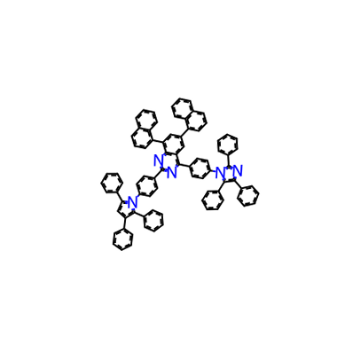 c1ccc(-c2cc(-c3ccccc3)n(-c3ccc(-c4nc(-c5ccc(-n6c(-c7ccccc7)nc(-c7ccccc7)c6-c6ccccc6)cc5)c5cc(-c6cccc7ccccc67)cc(-c6cccc7ccccc67)c5n4)cc3)c2-c2ccccc2)cc1